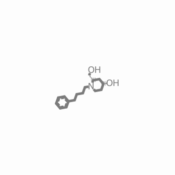 OC[C@@H]1C[C@H](O)CCN1CCCCc1ccccc1